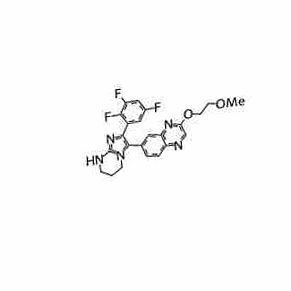 COCCOc1cnc2ccc(-c3c(-c4cc(F)cc(F)c4F)nc4n3CCCN4)cc2n1